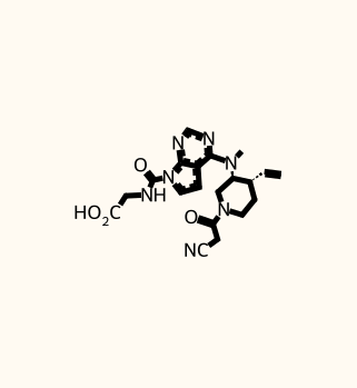 C=C[C@@H]1CCN(C(=O)CC#N)C[C@@H]1N(C)c1ncnc2c1ccn2C(=O)NCC(=O)O